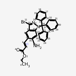 CCOC(=O)/C=C/c1cc2c(Br)nn(C(c3ccccc3)(c3ccccc3)c3ccccc3)c2cc1N